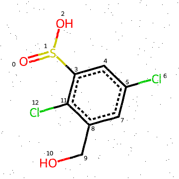 O=S(O)c1cc(Cl)cc(CO)c1Cl